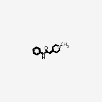 CN1CCC(=CC(=O)Nc2ccccc2)CC1